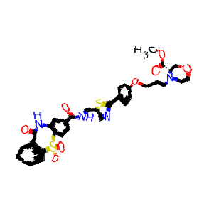 COC(=O)[C@@H]1COCCN1CCCOc1ccc(-c2ncc(CNC(=O)c3ccc4c(c3)NC(=O)c3ccccc3S4(=O)=O)s2)cc1